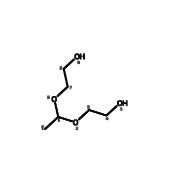 [CH2]C(OCCO)OCCO